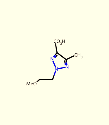 COCCn1nc(C)c(C(=O)O)n1